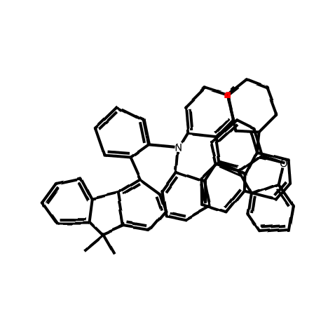 CC1C=C(c2cccc3cccc(C4CCCCC4)c23)C(N(c2ccccc2-c2cccc3c2-c2ccccc2C3(C)C)c2ccccc2-c2cccc3oc4ccccc4c23)=CC1